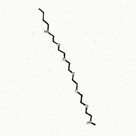 CCCCNCCOCCOCCOCCOCCOCCNC